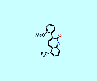 COc1ccccc1-c1ccc2c(C(F)(F)F)cccc2nc1=O